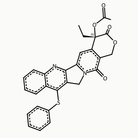 CC[C@@]1(OC(C)=O)C(=O)OCc2c1cc1n(c2=O)Cc2c-1nc1ccccc1c2Sc1ccccc1